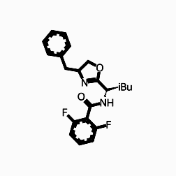 CC[C@H](C)[C@H](NC(=O)c1c(F)cccc1F)C1=NC(Cc2ccccc2)CO1